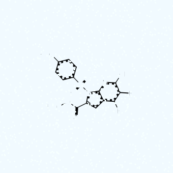 COC(=O)c1cc2c(F)c(F)c(Cl)nc2n1S(=O)(=O)c1ccc(C)cc1